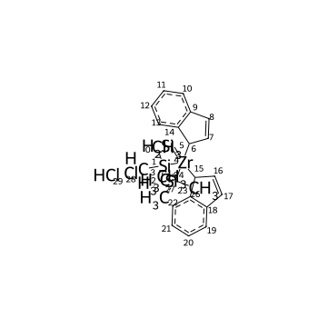 C[Si](C)(C)[Zr](=[SiH2])([CH]1C=Cc2ccccc21)([CH]1C=Cc2ccccc21)[Si](C)(C)C.Cl.Cl